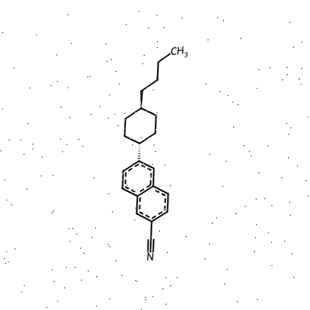 CCCC[C@H]1CC[C@H](c2ccc3cc(C#N)ccc3c2)CC1